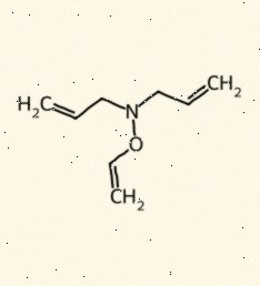 C=CCN(CC=C)OC=C